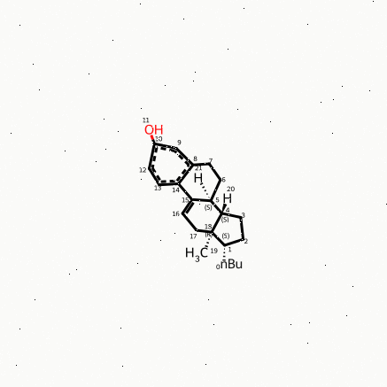 CCCC[C@H]1CC[C@H]2[C@@H]3CCc4cc(O)ccc4C3=CC[C@]12C